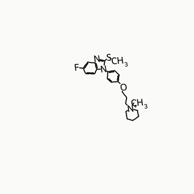 CSc1nc2cc(F)ccc2n1-c1ccc(OCCC[N+]2(C)CCCCC2)cc1